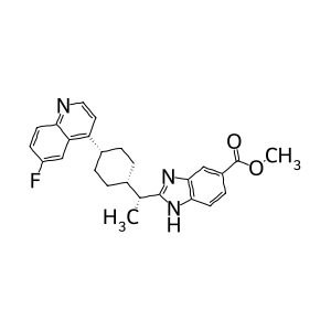 COC(=O)c1ccc2[nH]c([C@H](C)[C@H]3CC[C@@H](c4ccnc5ccc(F)cc54)CC3)nc2c1